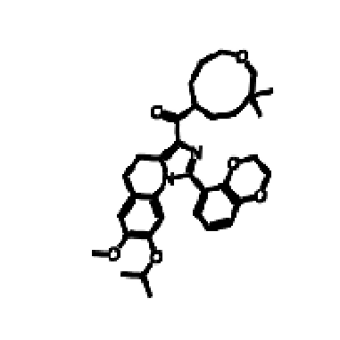 COc1cc2c(cc1OC(C)C)-n1c(-c3cccc4c3OCCO4)nc(C(=O)C3CCCOCC(C)(C)CC3)c1CC2